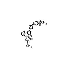 CCOC(=O)Nc1nc2cc(-c3ccc(CN4CCN(S(C)(=O)=O)CC4)nc3)cc(-c3ncccn3)c2[nH]1